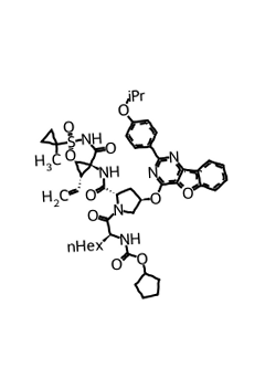 C=C[C@@H]1C[C@]1(NC(=O)[C@@H]1C[C@@H](Oc2nc(-c3ccc(OC(C)C)cc3)nc3c2oc2ccccc23)CN1C(=O)[C@H](CCCCCC)NC(=O)OC1CCCC1)C(=O)NS(=O)(=O)C1(C)CC1